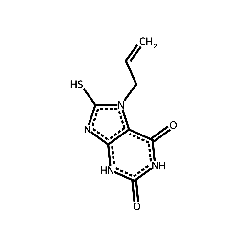 C=CCn1c(S)nc2[nH]c(=O)[nH]c(=O)c21